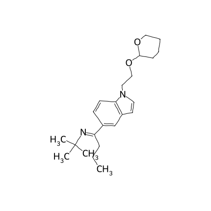 CCC/C(=N\C(C)(C)C)c1ccc2c(ccn2CCOC2CCCCO2)c1